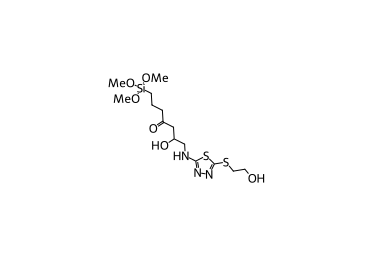 CO[Si](CCCC(=O)CC(O)CNc1nnc(SCCO)s1)(OC)OC